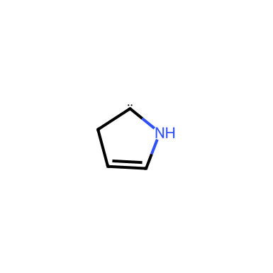 [C]1CC=CN1